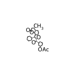 CC(=O)Oc1cccc(C(=O)c2oc3ccc4c(C)cc(=O)oc4c3c2-c2ccccc2)c1